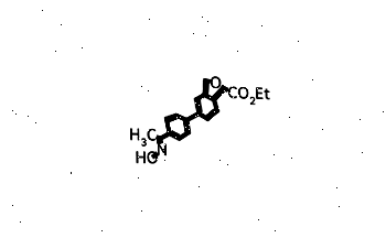 CCOC(=O)c1occ2cc(-c3ccc(C(C)=NO)cc3)ccc12